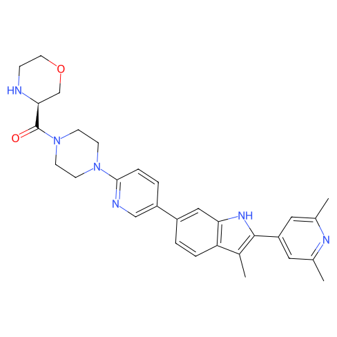 Cc1cc(-c2[nH]c3cc(-c4ccc(N5CCN(C(=O)[C@@H]6COCCN6)CC5)nc4)ccc3c2C)cc(C)n1